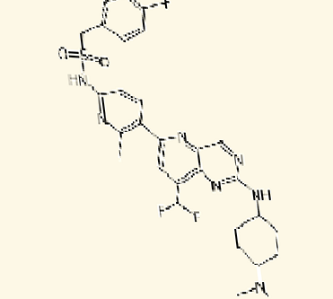 Cc1nc(NS(=O)(=O)Cc2ccc(F)cc2)ccc1-c1cc(C(F)F)c2nc(NC3CCC(N(C)C)CC3)ncc2n1